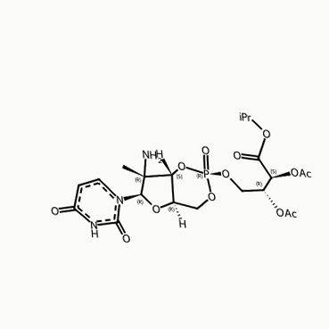 CC(=O)O[C@H](C(=O)OC(C)C)[C@@H](CO[P@@]1(=O)OC[C@H]2O[C@@H](n3ccc(=O)[nH]c3=O)[C@](C)(N)[C@@H]2O1)OC(C)=O